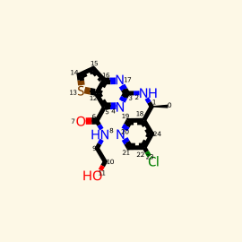 C[C@H](Nc1nc(C(=O)NCCO)c2sccc2n1)c1cncc(Cl)c1